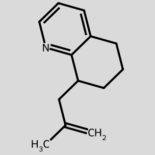 C=C(C)CC1CCCc2cccnc21